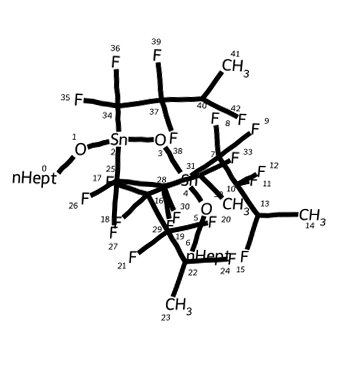 CCCCCCC[O][Sn]([O][Sn]([O]CCCCCCC)([C](F)(F)C(F)(F)C(C)F)[C](F)(F)C(F)(F)C(C)F)([C](F)(F)C(F)(F)C(C)F)[C](F)(F)C(F)(F)C(C)F